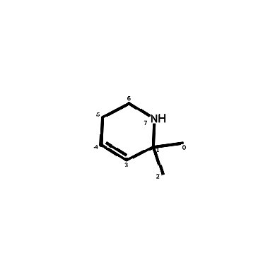 CC1(C)C=CCCN1